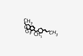 CCCCC1CCC(C(C)c2ccc3c(c2F)C(=O)OC(CC)C3)CC1